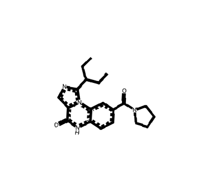 CCC(CC)c1ncc2c(=O)[nH]c3ccc(C(=O)N4CCCC4)cc3n12